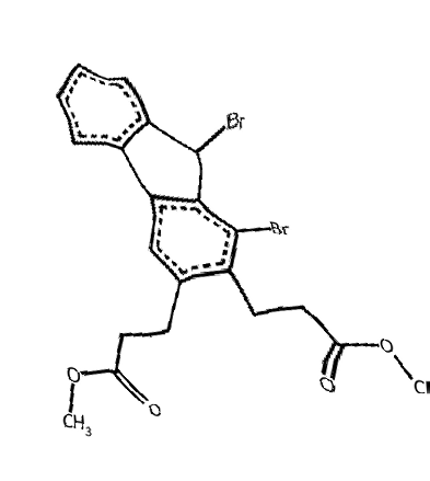 COC(=O)CCc1cc2c(c(Br)c1CCC(=O)OC)C(Br)c1ccccc1-2